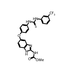 COC(=O)Nc1nc2cc(Oc3ccc(NC(=S)Nc4cccc(C(F)(F)F)c4)cc3)ccc2[nH]1